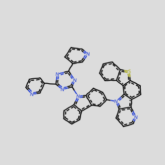 c1cncc(-c2nc(-c3cccnc3)nc(-n3c4ccccc4c4cc(-n5c6cccnc6c6ccc7sc8ccccc8c7c65)ccc43)n2)c1